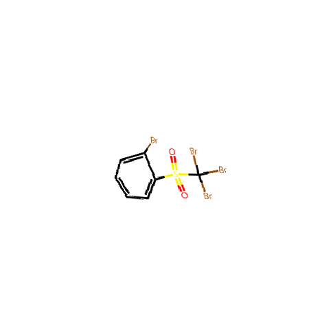 O=S(=O)(c1ccccc1Br)C(Br)(Br)Br